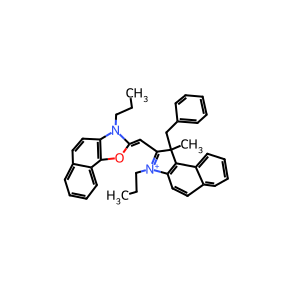 CCCN1/C(=C/C2=[N+](CCC)c3ccc4ccccc4c3C2(C)Cc2ccccc2)Oc2c1ccc1ccccc21